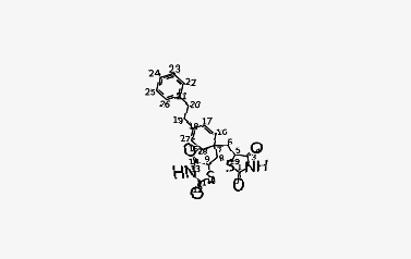 O=C1NC(=O)C(CC2(CC3SC(=O)NC3=O)C=CC(CCc3ccccc3)=CC2)S1